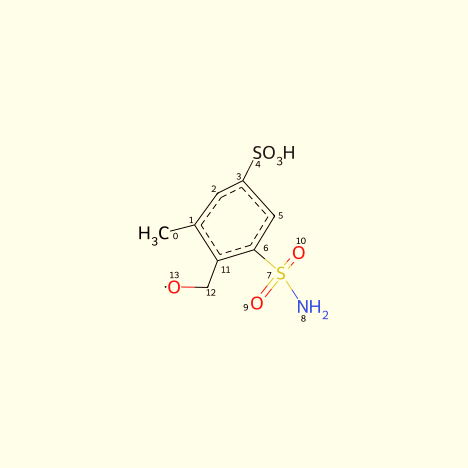 Cc1cc(S(=O)(=O)O)cc(S(N)(=O)=O)c1C[O]